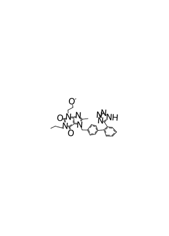 CCCn1c(=O)c2c(nc(C)n2Cc2ccc(-c3ccccc3-c3nnn[nH]3)cc2)n(CCOC)c1=O